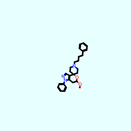 COC1Cc2c(cnn2-c2ccccc2)C2(CCN(CCCCc3ccccc3)CC2)O1